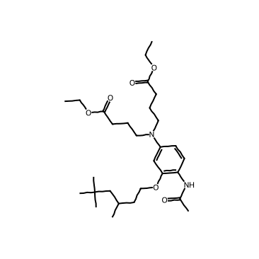 CCOC(=O)CCCN(CCCC(=O)OCC)c1ccc(NC(C)=O)c(OCCC(C)CC(C)(C)C)c1